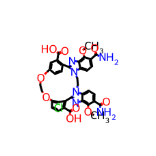 COc1c(C(N)=O)ccc2c1nc1n2CCn2c(nc3c(OC)c(C(N)=O)ccc32)-c2c(C(=O)O)ccc(c2Cl)OCCOc2ccc-1c(C(=O)O)c2